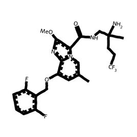 COc1nc2c(OCc3c(F)cccc3F)cc(C)cn2c1C(=O)NCC(C)(N)CCC(F)(F)F